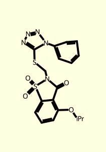 CC(C)Oc1cccc2c1C(=O)N(CSc1nnnn1-c1ccccc1)S2(=O)=O